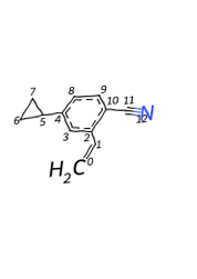 C=Cc1cc(C2CC2)ccc1C#N